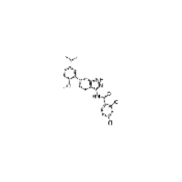 COc1ccc(C(C)C)cc1-c1ccc2c(NC(=O)c3ccc(Cl)cc3Cl)n[nH]c2c1